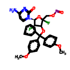 COc1ccc(C(O[C@H]2[C@@H](F)[C@H](n3ccc(N)nc3=O)O[C@]2(F)COP=O)(c2ccccc2)c2ccc(OC)cc2)cc1